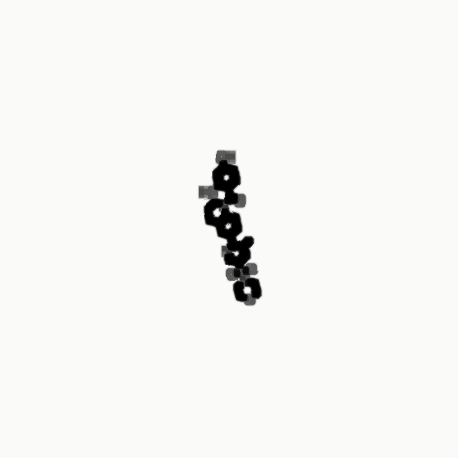 Cc1cc(S(=O)(=O)N2CCOCC2)cnc1-c1ccc2c(c1)CCCN2C(=O)c1ccc(O)cc1O